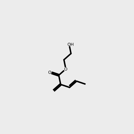 C=C(C=CC)C(=O)OCCO